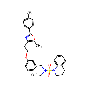 Cc1oc(-c2ccc(C(F)(F)F)cc2)nc1CCOc1cccc(CN(CC(=O)O)S(=O)(=O)N2CCCc3ccccc32)c1